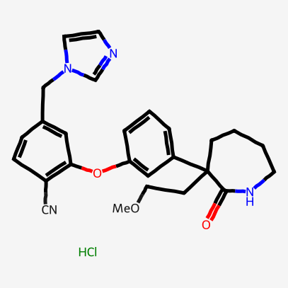 COCCC1(c2cccc(Oc3cc(Cn4ccnc4)ccc3C#N)c2)CCCCNC1=O.Cl